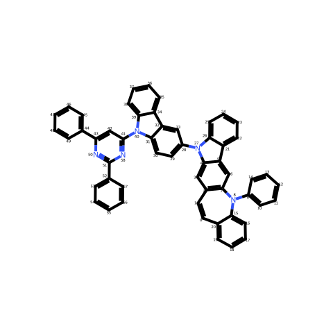 C1=Cc2cc3c(cc2N(c2ccccc2)c2ccccc21)c1ccccc1n3-c1ccc2c(c1)c1ccccc1n2-c1cc(-c2ccccc2)nc(-c2ccccc2)n1